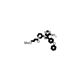 COCC=CC(=O)N1CCCC(n2nc(-c3ccc(Oc4ccccc4)cc3)c3c(N)ncnc32)C1